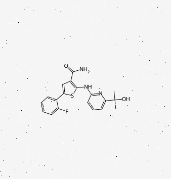 CC(C)(O)c1cccc(Nc2sc(-c3ccccc3F)cc2C(N)=O)n1